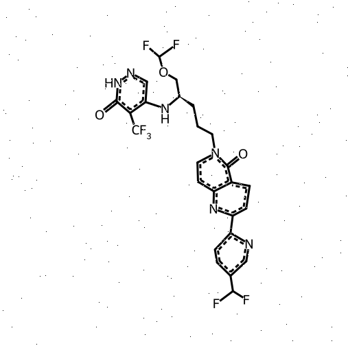 O=c1[nH]ncc(N[C@H](CCCn2ccc3nc(-c4ccc(C(F)F)cn4)ccc3c2=O)COC(F)F)c1C(F)(F)F